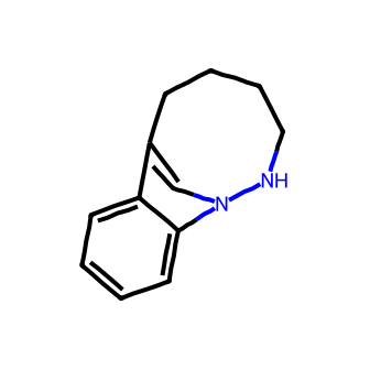 c1ccc2c(c1)c1cn2NCCCC1